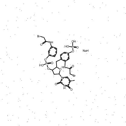 Cc1cn(C2CC(OP(=O)(O)Oc3cccc(NC(=O)CBr)c3)C(Cc3ccc(OP(=O)(O)O)cc3NC(=O)CBr)O2)c(=O)[nH]c1=O.[NaH]